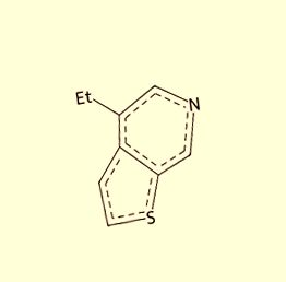 CCc1cncc2sccc12